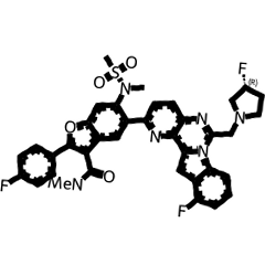 CNC(=O)c1c(-c2ccc(F)cc2)oc2cc(N(C)S(C)(=O)=O)c(-c3ccc4nc(CN5CC[C@@H](F)C5)n5c6cccc(F)c6cc5c4n3)cc12